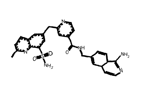 Cc1ccc2cc(Cc3cc(C(=O)NCC4=CC5C=CN=C(N)C5C=C4)ccn3)cc(S(N)(=O)=O)c2n1